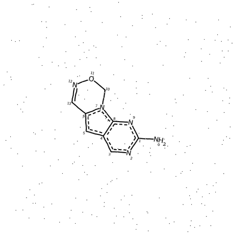 Nc1ncc2cc3n(c2n1)CON=C3